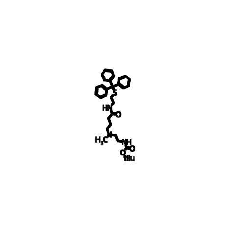 CN(CCCC(=O)NCCSC(c1ccccc1)(c1ccccc1)c1ccccc1)CCNC(=O)OC(C)(C)C